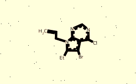 C=CCn1c(CC)c(Br)c2c(Cl)ncnc21